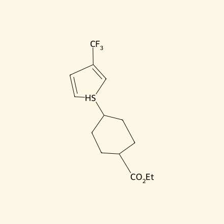 CCOC(=O)C1CCC([SH]2C=CC(C(F)(F)F)=C2)CC1